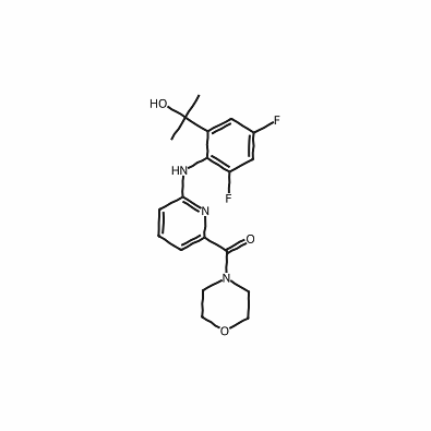 CC(C)(O)c1cc(F)cc(F)c1Nc1cccc(C(=O)N2CCOCC2)n1